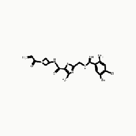 C=CC(=O)N1CC(NC(=O)c2sc(CNC(=N)c3cc(C(C)(C)C)c(Cl)cc3N)nc2C)C1